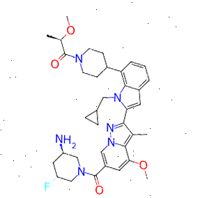 COc1cc(C(=O)N2C[C@H](N)C[C@@H](F)C2)cn2nc(-c3cc4cccc(C5CCN(C(=O)[C@@H](C)OC)CC5)c4n3CC3CC3)c(C)c12